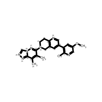 COc1cnc(Cl)c(-c2cnc3c(c2)CN(c2nn4cnnc4c(C)c2C)CC3)c1